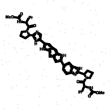 COC(=O)NC(C(=O)N1CCCC1c1ncc(-c2cc3cc4[nH]c(-c5ccc6nc(C7CCCN7C(=O)C(NC(=O)OC)C(C)C)[nH]c6c5)cc4cc3[nH]2)[nH]1)C(C)C